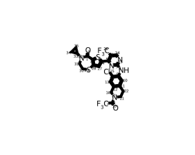 O=C1c2sc(-c3nc(Nc4cc5c(cc4Cl)CN(C(=O)C(F)(F)F)CC5)ncc3C(F)(F)F)cc2SCCN1C1CC1